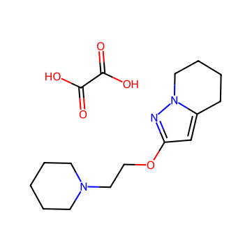 O=C(O)C(=O)O.c1c(OCCN2CCCCC2)nn2c1CCCC2